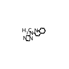 CN(c1cnccn1)c1ccc2ccccc2n1